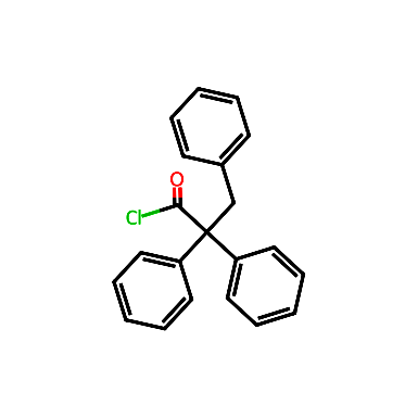 O=C(Cl)C(Cc1ccccc1)(c1ccccc1)c1ccccc1